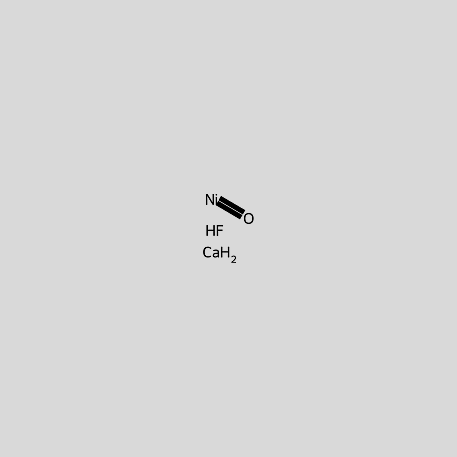 F.[CaH2].[O]=[Ni]